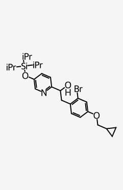 CC(C)[Si](Oc1ccc(C(O)Cc2ccc(OCC3CC3)cc2Br)nc1)(C(C)C)C(C)C